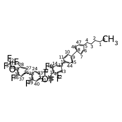 CCCCCc1ccc(-c2ccc(-c3cc(F)c(C(F)(F)Oc4ccc(-c5ccc(OC(F)(F)F)c(F)c5)c(F)c4)c(F)c3)cc2)cc1